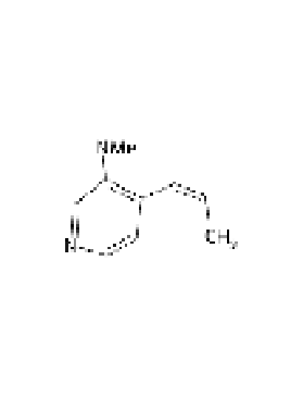 C/C=C\c1ccncc1NC